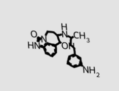 CC(CCc1cccc(N)c1)NC1CCn2c(=O)[nH]c3cccc(c32)C1O